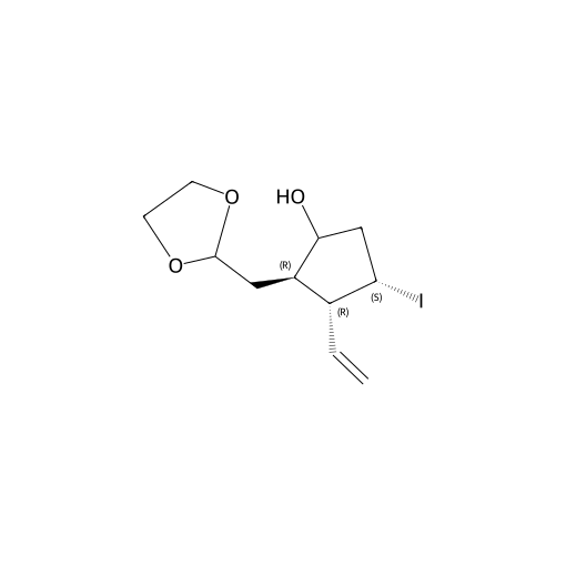 C=C[C@H]1[C@@H](I)CC(O)[C@@H]1CC1OCCO1